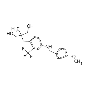 COc1ccc(CNc2ccc(CC(C)(CO)CO)c(C(F)(F)F)c2)cc1